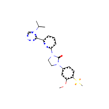 COc1cc(N2CCN(c3cccc(-c4nncn4C(C)C)n3)C2=O)ccc1S(C)(=O)=O